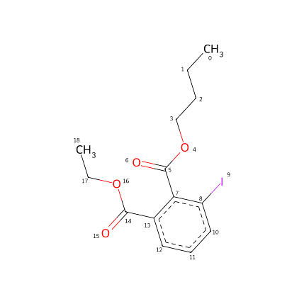 CCCCOC(=O)c1c(I)cccc1C(=O)OCC